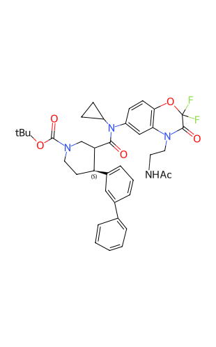 CC(=O)NCCN1C(=O)C(F)(F)Oc2ccc(N(C(=O)C3CN(C(=O)OC(C)(C)C)CC[C@@H]3c3cccc(-c4ccccc4)c3)C3CC3)cc21